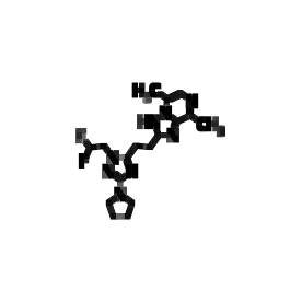 CC1=CN=C(C)C2=NC(CCc3nc(N4CCCC4)nn3CC(F)F)NN12